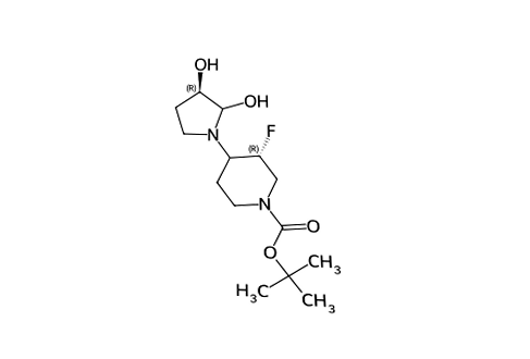 CC(C)(C)OC(=O)N1CCC(N2CC[C@@H](O)C2O)[C@H](F)C1